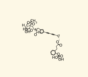 C[C@@](CCN1Cc2cc(C#CC#C[C@H]3C[C@@H]3COC(=O)CCc3ccccc3OP(=O)(O)O)cn2C1=O)(C(=O)NO)S(C)(=O)=O